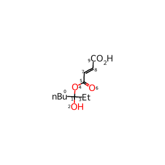 CCCCC(O)(CC)OC(=O)C=CC(=O)O